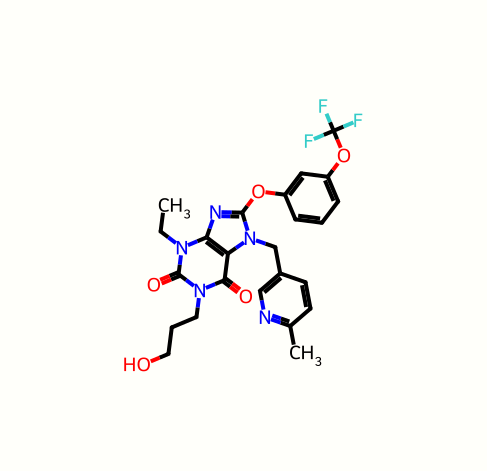 CCn1c(=O)n(CCCO)c(=O)c2c1nc(Oc1cccc(OC(F)(F)F)c1)n2Cc1ccc(C)nc1